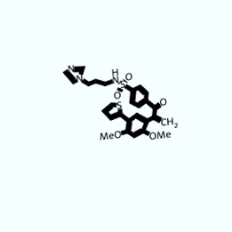 C=C(C(=O)c1ccc(S(=O)(=O)NCCCn2ccnc2)cc1)c1cc(-c2cccs2)c(OC)cc1OC